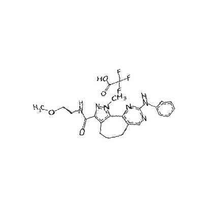 COCCNC(=O)c1nn(C)c2c1CCCc1cnc(Nc3ccccc3)nc1-2.O=C(O)C(F)(F)F